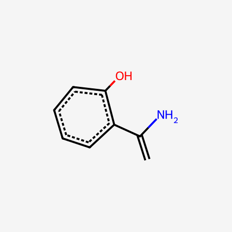 C=C(N)c1ccccc1O